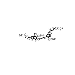 COc1cc2c(cc1OCCCOc1c(F)c3c(c(Cl)c1OC)CN(C(=O)CC(C)C(=O)O)C3C)CN(C(=O)CC(C)C(=O)O)C2